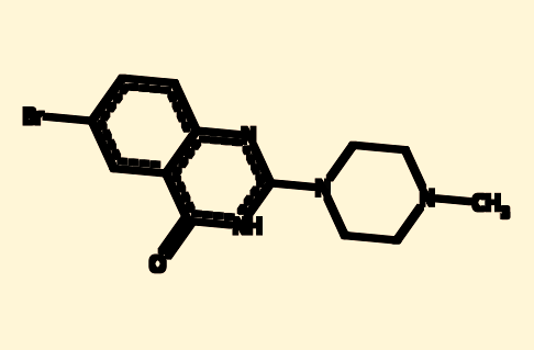 CN1CCN(c2nc3ccc(Br)cc3c(=O)[nH]2)CC1